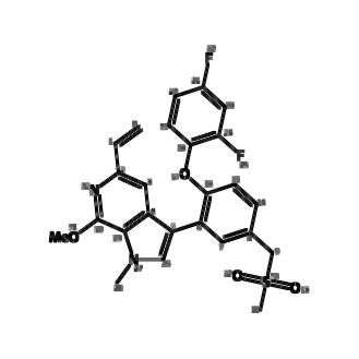 C=Cc1cc2c(-c3cc(CS(C)(=O)=O)ccc3Oc3ccc(F)cc3F)cn(C)c2c(OC)n1